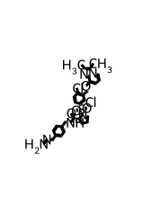 Cc1nc2c(OCc3c(Cl)ccc(S(=O)(=O)N4CCC[C@H]4C(=O)NCc4ccc(C=NN)cc4)c3Cl)cccn2c1C